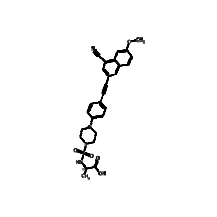 COc1ccc2cc(C#Cc3ccc(N4CCN(S(=O)(=O)N[C@H](C)C(=O)O)CC4)cc3)cc(C#N)c2c1